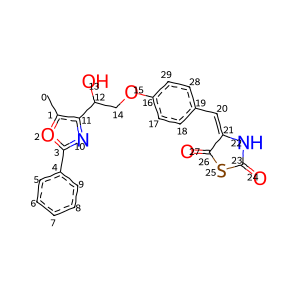 Cc1oc(-c2ccccc2)nc1C(O)COc1ccc(C=C2NC(=O)SC2=O)cc1